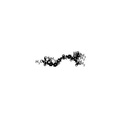 CCCN(CCC)C(=O)C1=Cc2ccc(-c3cccc(S(=O)(=O)N4CC(CNC(=O)OCc5ccc(NC(=O)C(CCCNC(N)=O)NC(=O)C(NC(=O)O)C(C)C)cc5)C4)c3)cc2N=C(N)C1